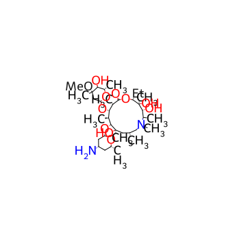 CC[C@H]1OC(=O)[C@H](C)[C@@H](O[C@H]2C[C@@](C)(OC)[C@@H](O)[C@H](C)O2)[C@H](C)[C@@H](O[C@H]2C[C@@H](N)C[C@@H](C)O2)[C@](C)(O)C[C@@H](C)CN(C)C(C)[C@@H](O)[C@]1(C)O